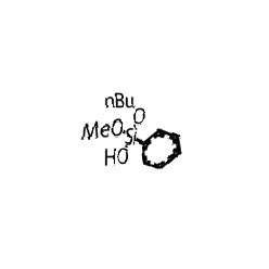 CCCCO[Si](O)(OC)c1ccccc1